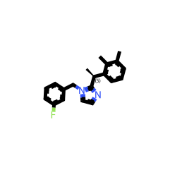 Cc1cccc([C@H](C)c2nccn2Cc2cccc(F)c2)c1C